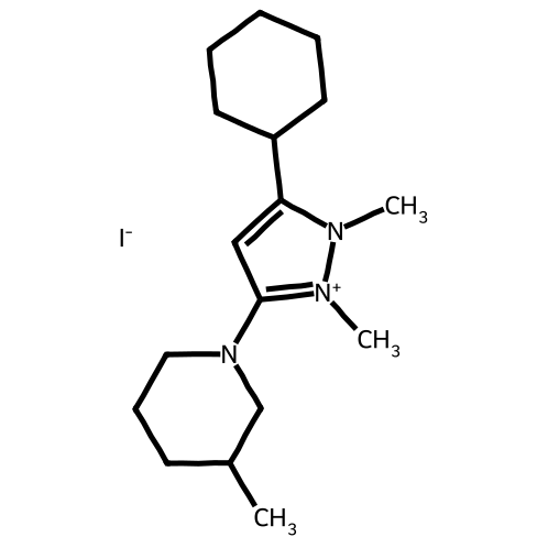 CC1CCCN(c2cc(C3CCCCC3)n(C)[n+]2C)C1.[I-]